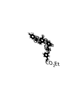 CCOC(=O)CCc1cccc(Cn2cnc(-c3cccc(Oc4c(F)cc5c(ccn5S(=O)(=O)c5ccc(C)cc5)c4SC)c3)n2)c1